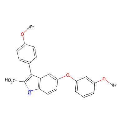 CC(C)Oc1ccc(-c2c(C(=O)O)[nH]c3ccc(Oc4cccc(OC(C)C)c4)cc23)cc1